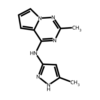 Cc1nc(Nc2cc(C)[nH]n2)c2cccn2n1